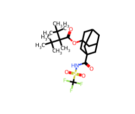 CC(C)(C)C(C)(C(=O)OC12CC3CC(C1)CC(C(=O)NS(=O)(=O)C(F)(F)F)(C3)C2)C(C)(C)C